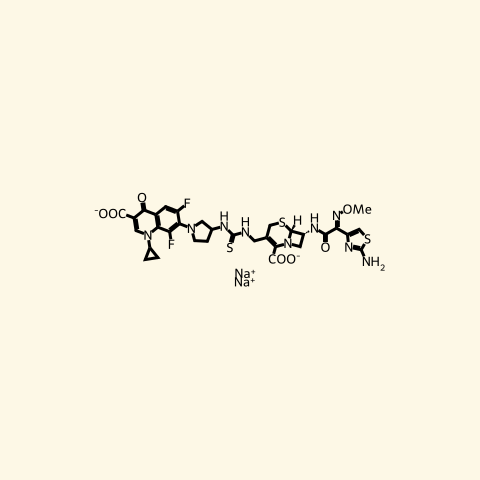 CON=C(C(=O)N[C@@H]1CN2C(C(=O)[O-])=C(CNC(=S)NC3CCN(c4c(F)cc5c(=O)c(C(=O)[O-])cn(C6CC6)c5c4F)C3)CS[C@H]12)c1csc(N)n1.[Na+].[Na+]